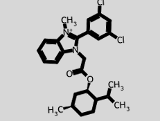 CC(C)C1CC[C@@H](C)C[C@H]1OC(=O)Cn1c(-c2cc(Cl)cc(Cl)c2)[n+](C)c2ccccc21